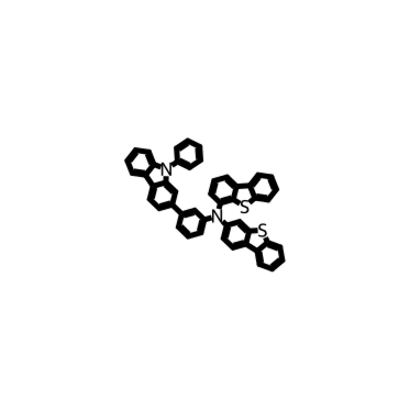 c1ccc(-n2c3ccccc3c3ccc(-c4cccc(N(c5ccc6c(c5)sc5ccccc56)c5cccc6c5sc5ccccc56)c4)cc32)cc1